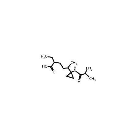 CCC(CCC(C)C1(NC(=O)C(C)C)CC1)C(=O)O